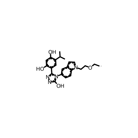 [CH2]COCCn1ccc2cc(-n3c(O)nnc3-c3cc(C(C)C)c(O)cc3O)ccc21